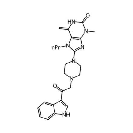 C=C1NC(=O)N(C)c2nc(N3CCN(CC(=O)c4c[nH]c5ccccc45)CC3)n(CCC)c21